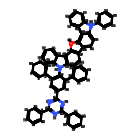 C1=CC(c2cc(-c3nc(-c4ccccc4)nc(-c4ccccc4)n3)cc(-c3ccccc3)c2-n2c3ccccc3c3c4oc5c(ccc6c5c5ccccc5n6-c5ccccc5)c4ccc32)=CCC1